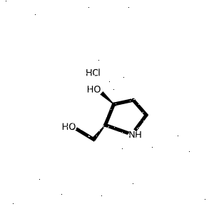 Cl.OC[C@@H]1NCC[C@@H]1O